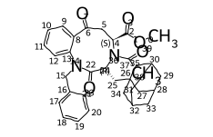 COC(=O)[C@@H]1CC(=O)c2ccccc2N(Cc2ccccc2)C(=O)[C@@H](CC23CC4CC(CC(C4)C2)C3)N1C(C)=O